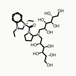 CCN1C[N@+](CC)(C(=O)N2CCCC2N(C[C@H](O)[C@@H](O)[C@H](O)[C@H](O)CO)C[C@H](O)[C@@H](O)[C@H](O)[C@H](O)CO)c2ccccc21